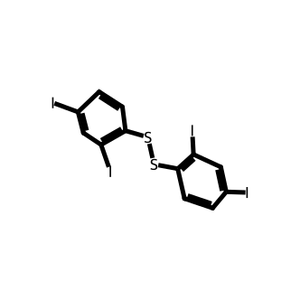 Ic1ccc(SSc2ccc(I)cc2I)c(I)c1